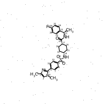 Cc1cn(C)c(-c2ccc(S(=O)(=O)N[C@H]3CC[C@H](C(=O)N[C@H](C)c4ccc(F)cc4)CC3)cc2)n1